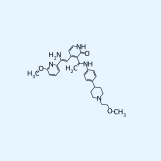 C=C(Nc1ccc(C2CCN(CCOC)CC2)cc1)c1c(/C=C(\N)c2cccc(OC)n2)cc[nH]c1=O